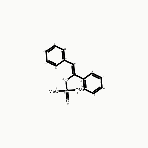 COP(=O)(OC)OC(=Cc1ccccc1)c1ccccc1